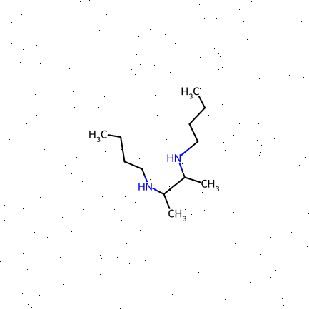 CCCCNC(C)C(C)NCCCC